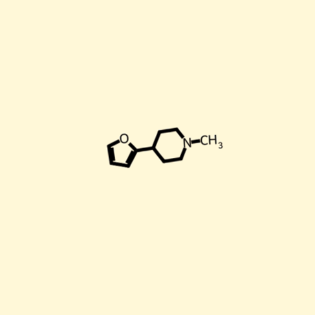 CN1CCC(c2ccco2)CC1